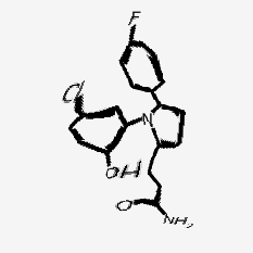 NC(=O)CCc1ccc(-c2ccc(F)cc2)n1-c1cc(Cl)ccc1O